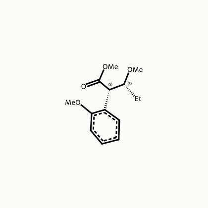 CC[C@@H](OC)[C@@H](C(=O)OC)c1ccccc1OC